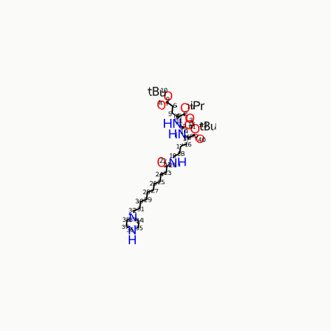 CC(C)OC(=O)[C@H](CCC(=O)OC(C)(C)C)NC(=O)N[C@@H](CCCCNC(=O)CCCCCCCCCCN1CCNCC1)C(=O)OC(C)(C)C